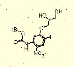 CC(C)(C)OC(=O)Nc1cc(OCC(O)CO)c(I)cc1[N+](=O)[O-]